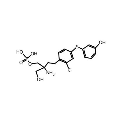 NC(CO)(CCc1ccc(Sc2cccc(O)c2)cc1Cl)COP(=O)(O)O